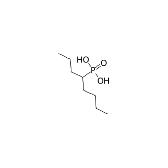 CCCCC(CCC)P(=O)(O)O